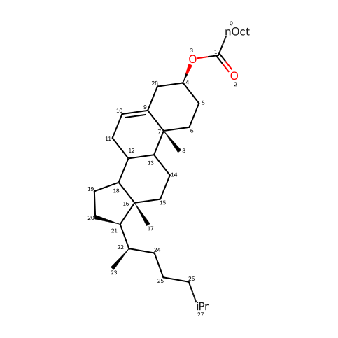 CCCCCCCCC(=O)O[C@H]1CC[C@@]2(C)C(=CCC3C2CC[C@@]2(C)C3CC[C@@H]2[C@H](C)CCCC(C)C)C1